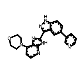 c1cncc(-c2ccc3[nH]nc(-c4nc5c(N6CCOCC6)ccnc5[nH]4)c3c2)c1